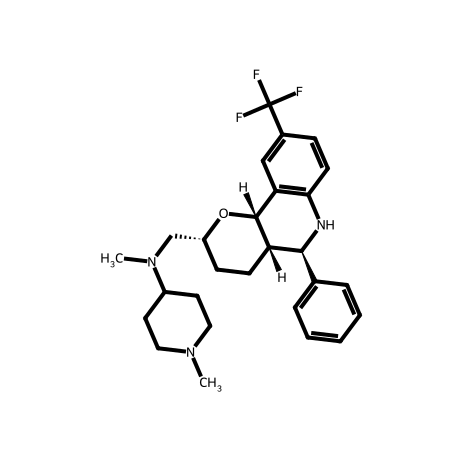 CN1CCC(N(C)C[C@H]2CC[C@@H]3[C@H](O2)c2cc(C(F)(F)F)ccc2N[C@H]3c2ccccc2)CC1